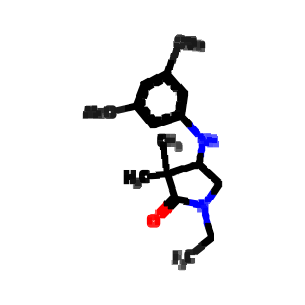 COc1cc(NC2CN(CC(F)(F)F)C(=O)C2(C)C)cc(OC)c1